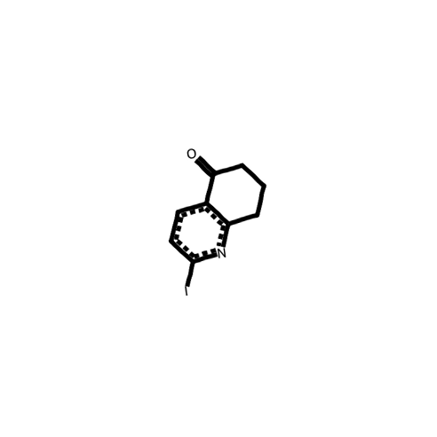 O=C1CCCc2nc(I)ccc21